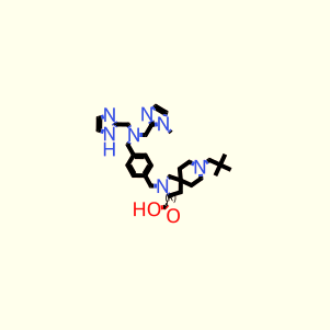 Cn1ccnc1CN(Cc1ccc(CN2CC3(CCN(CC(C)(C)C)CC3)C[C@@H]2C(=O)O)cc1)Cc1ncc[nH]1